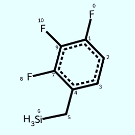 Fc1ccc(C[SiH3])c(F)c1F